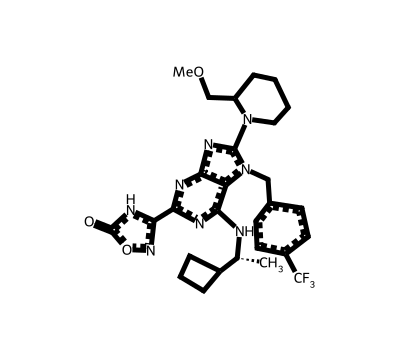 COCC1CCCCN1c1nc2nc(-c3noc(=O)[nH]3)nc(N[C@H](C)C3CCC3)c2n1Cc1ccc(C(F)(F)F)cc1